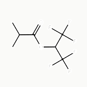 CC(C)C(=O)OC(C(F)(F)F)C(F)(F)F